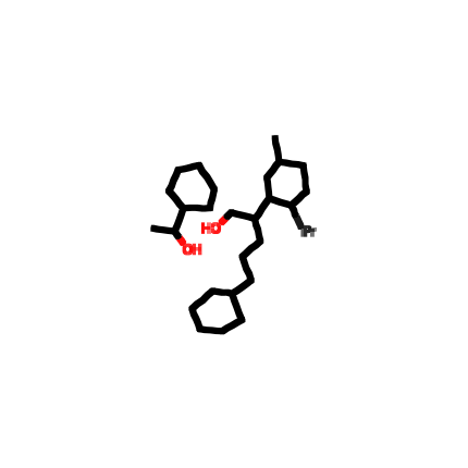 CC(O)C1CCCCC1.CC1CCC(C(C)C)C(C(CO)CCCC2CCCCC2)C1